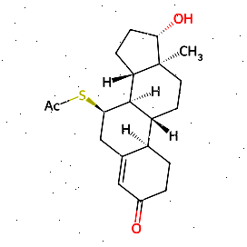 CC(=O)S[C@@H]1CC2=CC(=O)CC[C@@H]2[C@H]2CC[C@]3(C)[C@@H](O)CC[C@H]3[C@@H]21